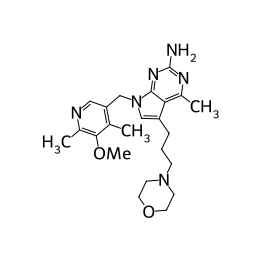 COc1c(C)ncc(Cn2cc(CCCN3CCOCC3)c3c(C)nc(N)nc32)c1C